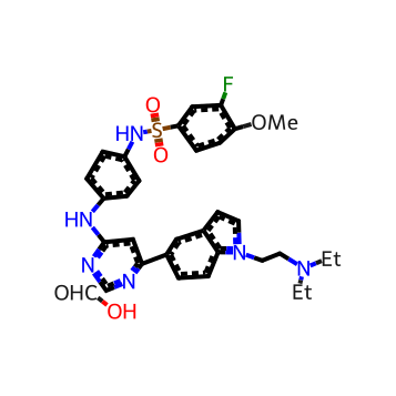 CCN(CC)CCn1ccc2cc(-c3cc(Nc4ccc(NS(=O)(=O)c5ccc(OC)c(F)c5)cc4)ncn3)ccc21.O=CO